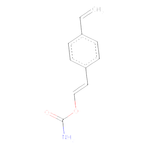 C=Cc1ccc(C=COC(N)=O)cc1